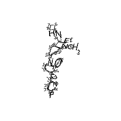 CCc1c(CNC2CCC2)c2ccc(-n3ccc(OCc4ccc(F)cn4)cc3=O)cc2n1C